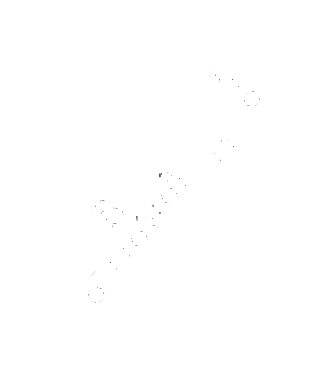 CC1(C)CCC(CN2CCN(c3ccc(C(=O)NS(=O)(=O)c4ccc(NCC5CCC(N6CCN(CCCOc7cccc8c7CN(C7CCC(=O)NC7=O)C8=O)C(=O)C6)CC5)c([N+](=O)[O-])c4)c(Oc4cnc5[nH]ccc5c4)c3)CC2)=C(c2ccc(Cl)cc2)C1